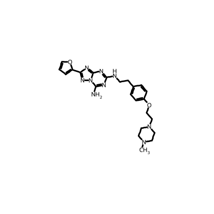 CN1CCN(CCOc2ccc(CCNc3nc(N)n4nc(-c5ccco5)nc4n3)cc2)CC1